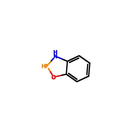 c1ccc2c(c1)NPO2